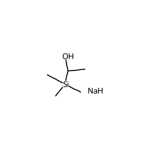 CC(O)[Si](C)(C)C.[NaH]